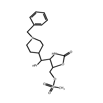 CCCC(C1CCN(Cc2ccccc2)CC1)C1NC(=O)OC1COS(C)(=O)=O